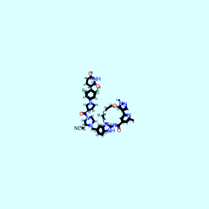 Cc1cc2cc(n1)-c1cnn(C)c1OCCC[C@@H](C)CN1/C(=N/C2=O)Nc2ccc(CN3CCN(C(=O)[C@@H]4CCN(c5cc(F)c([C@H]6CCC(=O)NC6=O)c(F)c5)C4)C[C@H]3CC#N)cc21